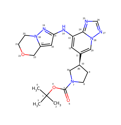 CC(C)(C)OC(=O)N1CC[C@H](c2cc(Nc3cc4n(n3)CCOC4)c3ncnn3c2)C1